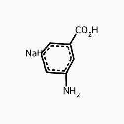 Nc1cccc(C(=O)O)c1.[NaH]